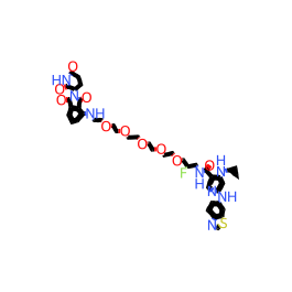 O=C1CCC(N2C(=O)c3cccc(NCCOCCOCCOCCOCCOCC(F)CNC(=O)c4cnc(Nc5ccc6ncsc6c5)cc4NC4CC4)c3C2=O)C(=O)N1